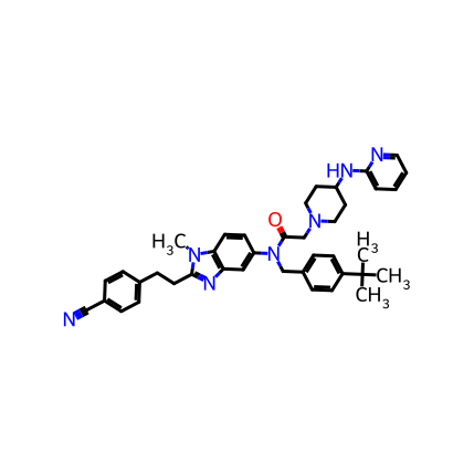 Cn1c(CCc2ccc(C#N)cc2)nc2cc(N(Cc3ccc(C(C)(C)C)cc3)C(=O)CN3CCC(Nc4ccccn4)CC3)ccc21